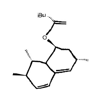 C=C(O[C@H]1C[C@H](C)C=C2C=C[C@@H](C)[C@H](C)C21)[C@@H](C)CC